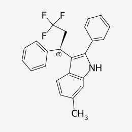 Cc1ccc2c([C@H](CC(F)(F)F)c3ccccc3)c(-c3ccccc3)[nH]c2c1